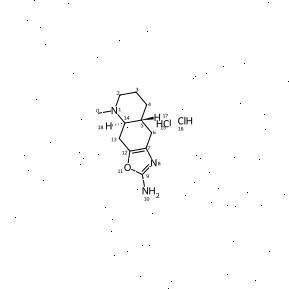 CN1CCC[C@@H]2Cc3nc(N)oc3C[C@H]21.Cl.Cl